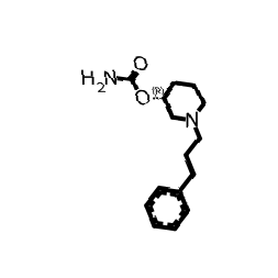 NC(=O)O[C@@H]1CCCN(CCCc2ccccc2)C1